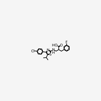 CC(C)c1sc(NCC(Cc2cccc(F)c2)C(=O)O)nc1-c1ccc(Cl)cc1